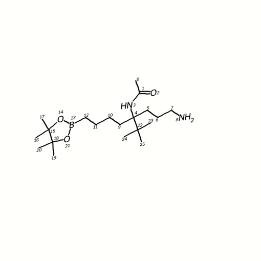 CC(=O)NC(CCCN)(CCCCB1OC(C)(C)C(C)(C)O1)C(C)(C)C